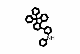 c1ccc(Nc2cccc(-c3cccc4c3-c3ccccc3C4(c3ccccc3)c3ccccc3)c2)cc1